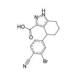 N#Cc1ccc(C2CCCc3[nH]nc(C(=O)O)c32)cc1Br